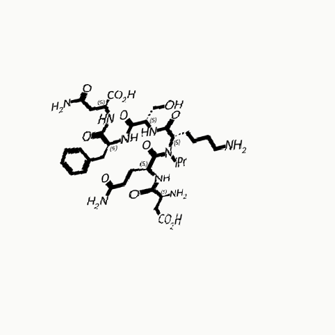 CC(C)N(C(=O)[C@H](CCC(N)=O)NC(=O)[C@@H](N)CC(=O)O)[C@@H](CCCCN)C(=O)N[C@@H](CO)C(=O)N[C@@H](Cc1ccccc1)C(=O)N[C@@H](CC(N)=O)C(=O)O